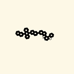 c1ccc2cc(-c3c4ccccc4c(-c4ccc5cc(-c6ccc7ccc8c(sc9ccc%10oc%11ccccc%11c%10c98)c7c6)ccc5c4)c4ccccc34)ccc2c1